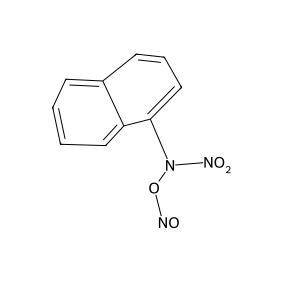 O=NON(c1cccc2ccccc12)[N+](=O)[O-]